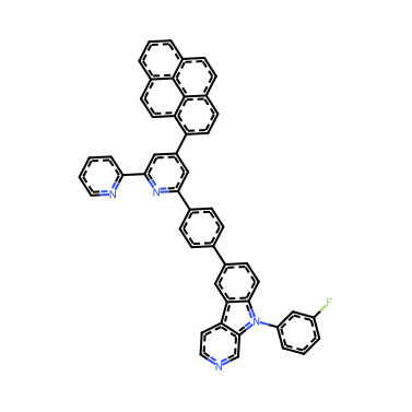 Fc1cccc(-n2c3ccc(-c4ccc(-c5cc(-c6ccc7ccc8cccc9ccc6c7c89)cc(-c6ccccn6)n5)cc4)cc3c3ccncc32)c1